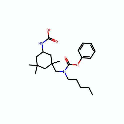 CCCCCN(CC1(C)CC(NC(=O)O)CC(C)(C)C1)C(=O)Oc1ccccc1